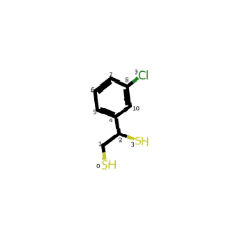 SCC(S)c1cccc(Cl)c1